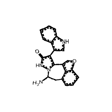 NC1Cc2cccc3occ(c23)-c2c(-c3c[nH]c4ccccc34)c(=O)[nH]n21